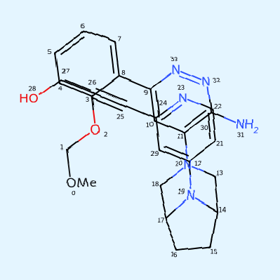 COCOc1ccccc1-c1cc(N2CC3CCC(C2)N3c2ccnc(C#CCO)c2)c(N)nn1